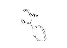 O=NNC(=O)c1ccccc1